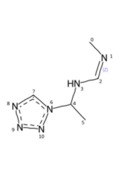 C/N=C\NC(C)n1[c]nnn1